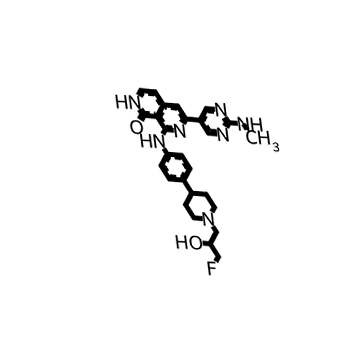 CNc1ncc(-c2cc3cc[nH]c(=O)c3c(Nc3ccc(C4CCN(CC(O)CF)CC4)cc3)n2)cn1